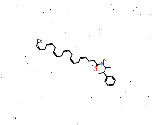 CC/C=C\C/C=C\C/C=C\C/C=C\C/C=C\C/C=C\CCC(=O)N(C)C(C)C(C)c1ccccc1